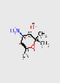 CC1(C)OC(C#N)=C[C@@H](N)[C@@H]1O